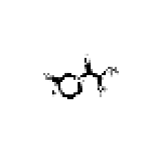 C[C@@H](O)C(=O)N1CCNC(=O)C1